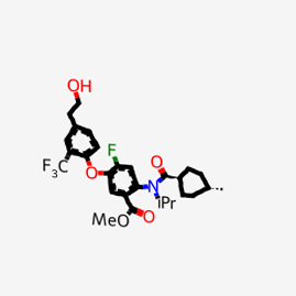 COC(=O)c1cc(Oc2ccc(CCO)cc2C(F)(F)F)c(F)cc1N(C(=O)[C@H]1CC[C@H](C)CC1)C(C)C